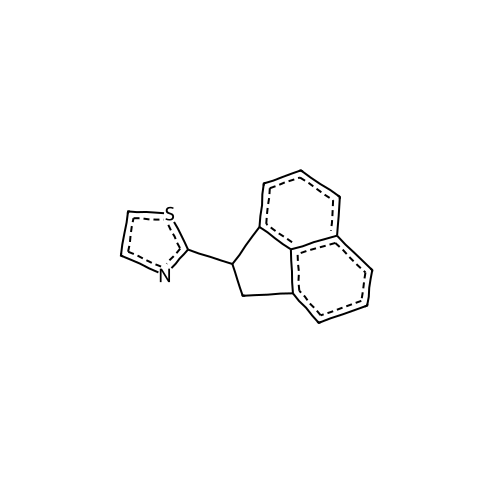 c1cc2c3c(cccc3c1)C(c1nccs1)C2